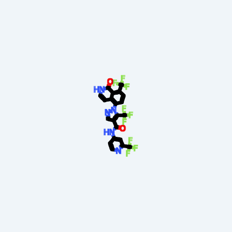 O=C(Nc1ccnc(C(F)(F)F)c1)c1cnn(-c2ccc(C(F)(F)F)c3c(=O)[nH]ccc23)c1C(F)(F)F